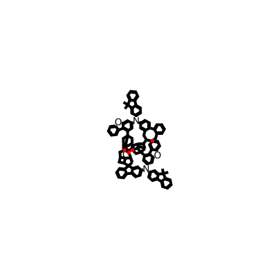 CC1(C)c2ccccc2-c2ccc(N(c3ccc4c(c3)CC(C3C5CC6CC3C(c3cc(N(c7ccc8c(c7)C(C)(C)c7ccccc7-8)c7ccc8c(c7)C7(c9ccccc9-8)C8CC9CC%10CC7C%10(C9)C8)cc7oc8ccccc8c37)(C6)C5)CCc3ccccc3-4)c3cc(C45CC6CC(CC(C6)C4)C5)c4c(c3)oc3ccccc34)cc21